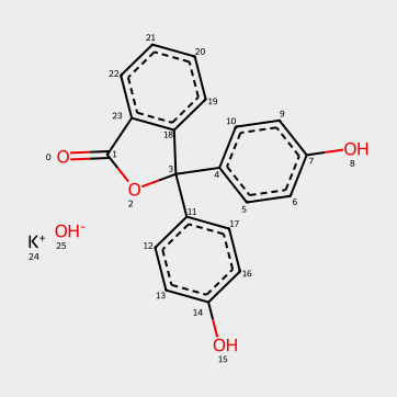 O=C1OC(c2ccc(O)cc2)(c2ccc(O)cc2)c2ccccc21.[K+].[OH-]